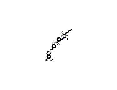 CCCC/C=c1/c(=O)[nH]/c(=C\c2cccc(C(=O)Nc3ccc(CCN4CCc5cc(OC)c(OC)cc5C4)cc3)c2)c(=O)n1C